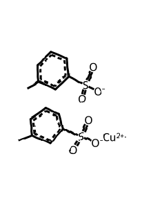 Cc1cccc(S(=O)(=O)[O-])c1.Cc1cccc(S(=O)(=O)[O-])c1.[Cu+2]